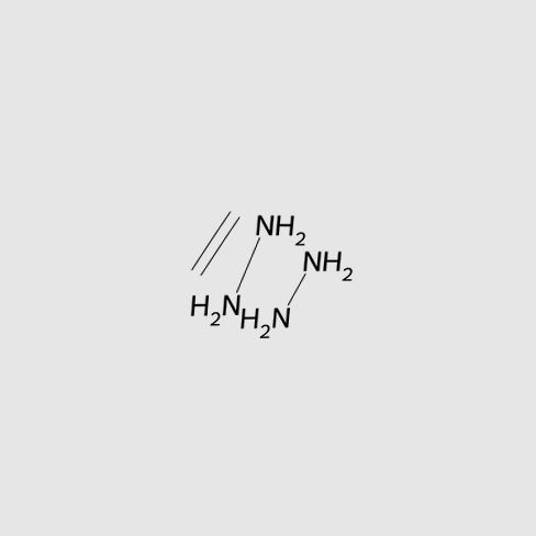 C=C.NN.NN